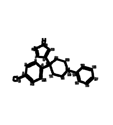 Clc1ccc(C2(c3cn[nH]c3)CCN(c3ccccc3)CC2)cc1